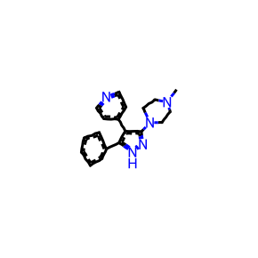 CN1CCN(c2n[nH]c(-c3ccccc3)c2-c2ccncc2)CC1